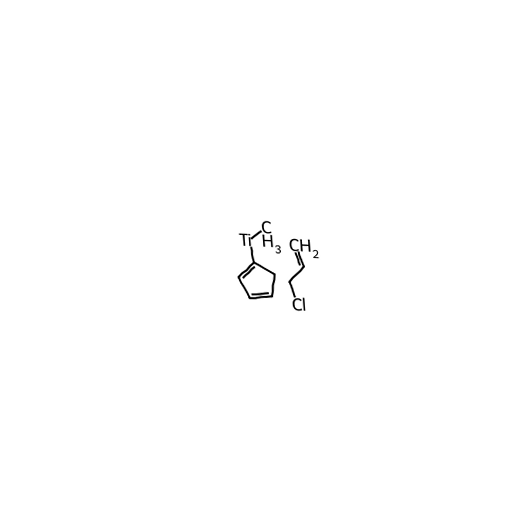 C=CCCl.[CH3][Ti][C]1=CC=CC1